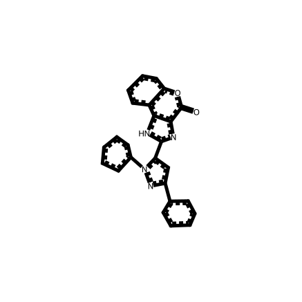 O=c1oc2ccccc2c2[nH]c(-c3cc(-c4ccccc4)nn3-c3ccccc3)nc12